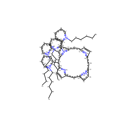 CCCCCC[n+]1ccccc1-c1c(-c2cccc[n+]2CCCCCC)c2c(-c3cccc[n+]3CCCCCC)c3nc(cc4ccc(cc5nc(cc1n2-c1cccc[n+]1CCCCCC)C=C5)[nH]4)C=C3